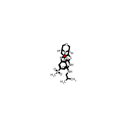 CC(C)CNC(=O)Nc1nc2c(s1)[C@@H]1COC[C@H](C2)N1c1nc2cc(S(C)(=O)=O)ccc2o1